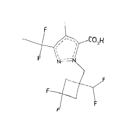 Cc1c(C(C)(F)F)nn(CC2(C(F)F)CC(F)(F)C2)c1C(=O)O